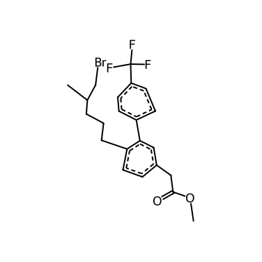 COC(=O)Cc1ccc(CCCC(C)CBr)c(-c2ccc(C(F)(F)F)cc2)c1